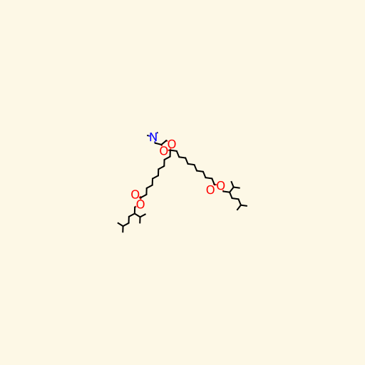 CC(C)CCC(COC(=O)CCCCCCCCCC1(CCCCCCCCCC(=O)OCC(CCC(C)C)C(C)C)OCC(CN(C)C)O1)C(C)C